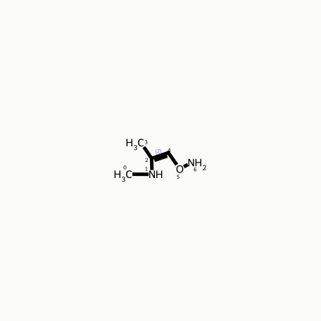 CN/C(C)=C\ON